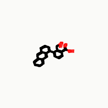 O=C(O)c1cccc(-c2cccc3cc4ccccc4cc23)c1CO